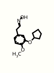 COc1ccc(CC=NO)cc1OC1CCCC1